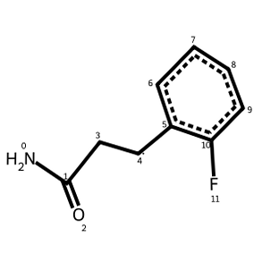 NC(=O)C[CH]c1ccccc1F